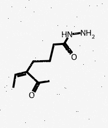 CC=C(CCCC(=O)NN)C(C)=O